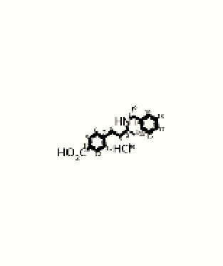 C[C@H](N[C@@H](C)CCc1ccc(C(=O)O)cc1)c1ccccc1.Cl